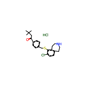 CC(C)(C)CC(=O)c1ccc(CSc2c(Cl)ccc3c2CCNCC3)cc1.Cl